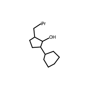 CC(C)CC1CCC(C2CCCCC2)C1O